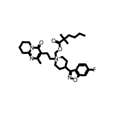 CCCCC(C)(C)C(=O)OC[N+]1(CCc2c(C)nc3n(c2=O)CCCC3)CCC(c2noc3cc(F)ccc23)CC1